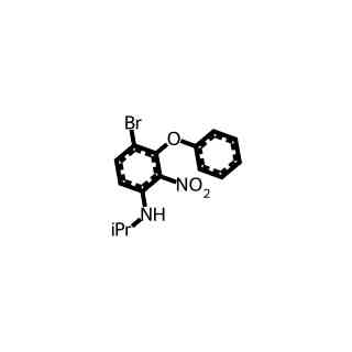 CC(C)Nc1ccc(Br)c(Oc2ccccc2)c1[N+](=O)[O-]